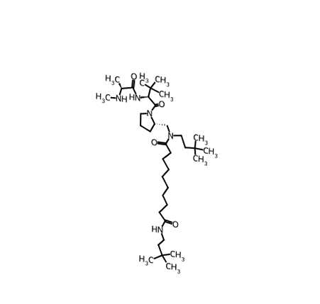 CN[C@@H](C)C(=O)N[C@H](C(=O)N1CCC[C@H]1CN(CCC(C)(C)C)C(=O)CCCCCCCCC(=O)NCCC(C)(C)C)C(C)(C)C